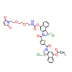 CC(=O)Oc1cc2c(c3ccccc13)[C@H](CCl)CN2C(=O)c1ccc(C(=O)N2C[C@@H](CCl)c3c2cc(OC(=O)NCCOCCOCCN2C(=O)C=CC2=O)c2ccccc32)s1